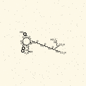 CN1C(=O)[C@@H](Cc2ccc(O)cc2)NC(=O)CNC(=O)[C@H](Cc2ccc3ccccc3c2)NC(=O)[C@H](CCCNC(=N)N)NC(=O)[C@H]1CCCNC(=O)CCCCNC(=O)CCCCNC(=O)CN(CCNCC(=O)O)CCN(CCNCC(=O)O)CC(=O)O